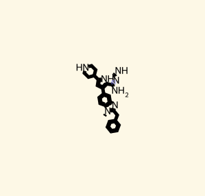 Cn1c(Cc2ccccc2)nc2cc(-c3cc(C4CCNCC4)[nH]c3/C(N)=N\C=N)ccc21